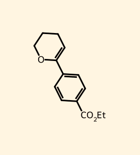 CCOC(=O)c1ccc(C2=CCCCO2)cc1